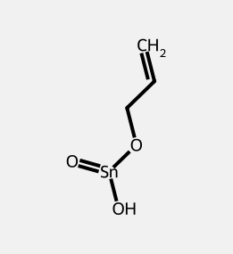 C=CC[O][Sn](=[O])[OH]